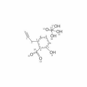 C#CCc1cccc(O)c1I(=O)=O.O=P(O)(O)O